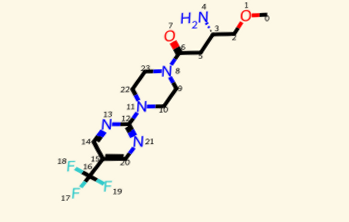 COC[C@@H](N)CC(=O)N1CCN(c2ncc(C(F)(F)F)cn2)CC1